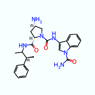 CC(NC(=O)[C@@H]1C[C@H](N)CN1C(=O)Nc1cn(C(N)=O)c2ccccc12)[C@@H](C)c1ccccc1